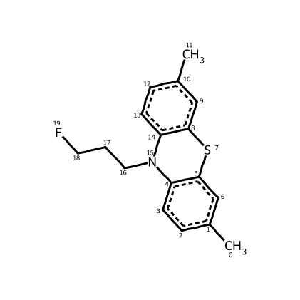 Cc1ccc2c(c1)Sc1cc(C)ccc1N2CCCF